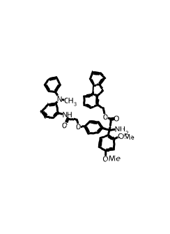 COc1ccc(C(N)(C(=O)OCc2cccc3c2Cc2ccccc2-3)c2ccc(OCC(=O)Nc3ccccc3N(C)c3ccccc3)cc2)c(OC)c1